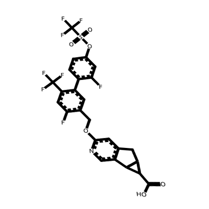 O=C(O)C1C2Cc3cc(OCc4cc(-c5ccc(OS(=O)(=O)C(F)(F)F)cc5F)c(C(F)(F)F)cc4F)ncc3C21